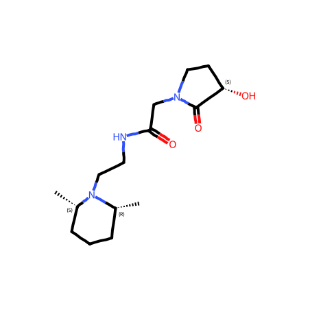 C[C@@H]1CCC[C@H](C)N1CCNC(=O)CN1CC[C@H](O)C1=O